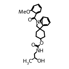 COc1ccccc1C(=O)NCC1(c2ccccc2)CCC(OC(=O)NC[C@H](C)O)CC1